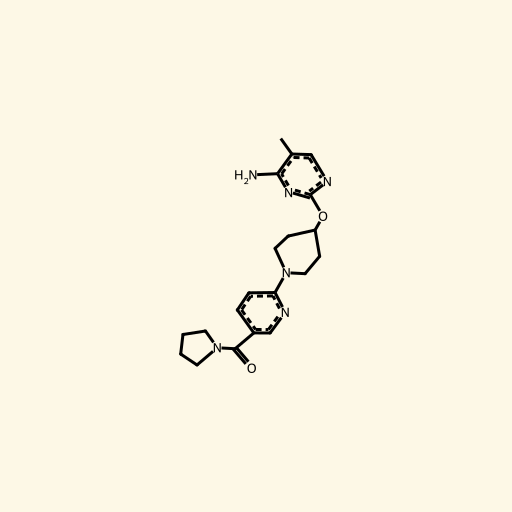 Cc1cnc(OC2CCN(c3ccc(C(=O)N4CCCC4)cn3)CC2)nc1N